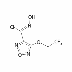 O/N=C(\Cl)c1nonc1OCC(F)(F)F